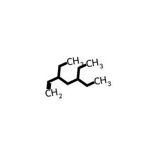 C=CC(CC)CC(CC)CC